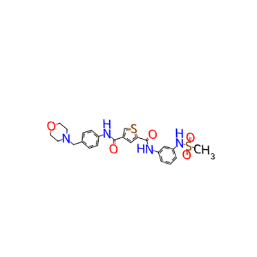 CS(=O)(=O)Nc1cccc(NC(=O)c2cc(C(=O)Nc3ccc(CN4CCOCC4)cc3)cs2)c1